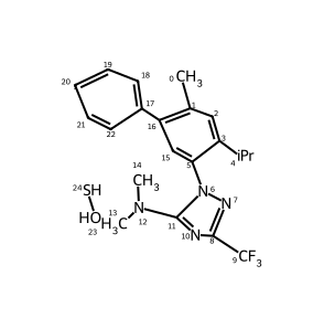 Cc1cc(C(C)C)c(-n2nc(C(F)(F)F)nc2N(C)C)cc1-c1cc[c]cc1.OS